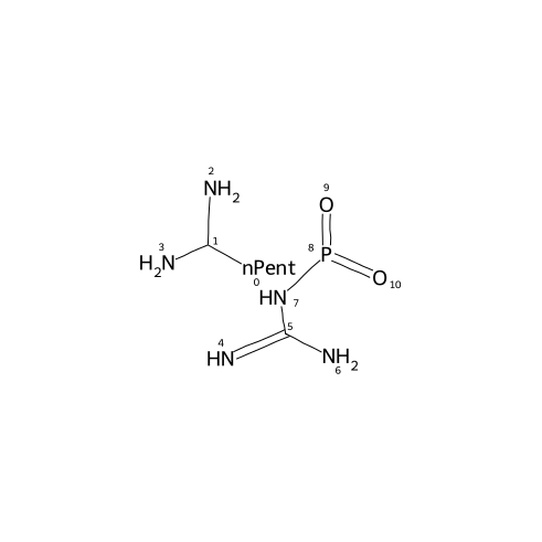 CCCCCC(N)N.N=C(N)NP(=O)=O